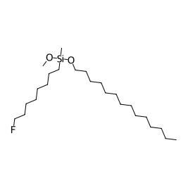 CCCCCCCCCCCCCCO[Si](C)(CCCCCCCCF)OC